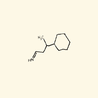 CC(CC=N)C1CCCCC1